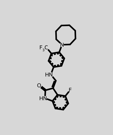 O=C1Nc2cccc(F)c2C1=CNc1ccc(N2CCCCCCC2)c(C(F)(F)F)c1